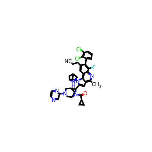 Cc1nc2c(F)c(-c3cccc(Cl)c3Cl)c(CCC#N)cc2c2c1cc(C1C3CC(CN(c4cnccn4)C3)N1C(=O)C1CC1)n2C1C2CNC1C2